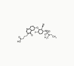 CCN(C)S(=O)(=O)Nc1ccc(F)c(Oc2ccc3ncn(CCCC(=O)O)c(=O)c3c2)c1C#N